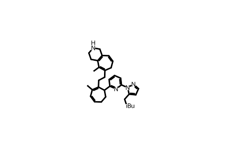 CCC(C)Cc1ccnn1-c1cccc(C2CCC=CC(C)=C2CCC2=C(C)C3=C(C=CC2)CNCC3)n1